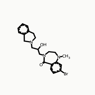 CN1CCN(CC(O)CN2CCc3ccccc3C2)C(=O)c2ccc(Br)cc21